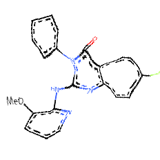 COc1cccnc1Nc1nc2ccc(F)cc2c(=O)n1-c1ccccc1